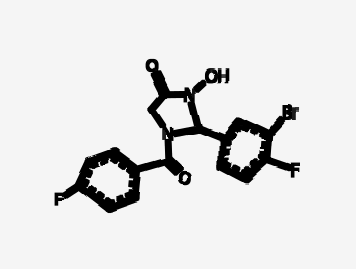 O=C1CN(C(=O)c2ccc(F)cc2)C(c2ccc(F)c(Br)c2)N1O